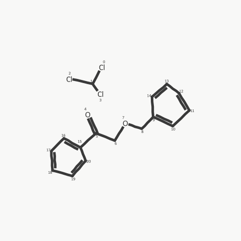 ClC(Cl)Cl.O=C(COCc1ccccc1)c1ccccc1